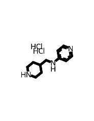 Cl.Cl.c1cc(NCC2CCNCC2)ccn1